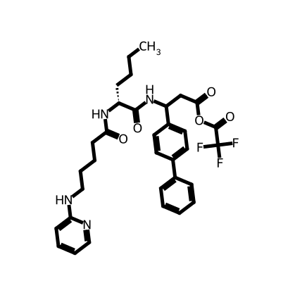 CCCC[C@@H](NC(=O)CCCCNc1ccccn1)C(=O)NC(CC(=O)OC(=O)C(F)(F)F)c1ccc(-c2ccccc2)cc1